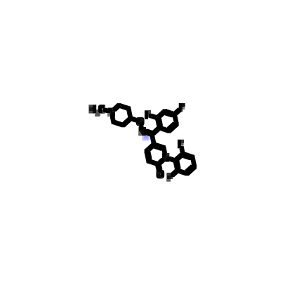 CN1CCC(O/N=C(/c2ccc(=O)n(-c3c(F)cccc3F)c2)c2ccc(F)cc2F)CC1